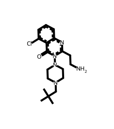 CC(C)(C)CN1CCN(n2c(CCN)nc3cccc(Cl)c3c2=O)CC1